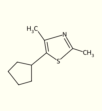 Cc1nc(C)c(C2CCCC2)s1